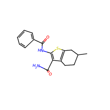 CC1CCc2c(sc(NC(=O)c3ccccc3)c2C(N)=O)C1